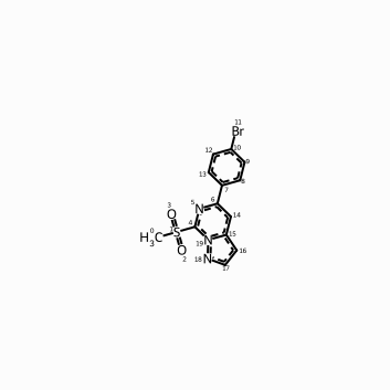 CS(=O)(=O)c1nc(-c2ccc(Br)cc2)cc2ccnn12